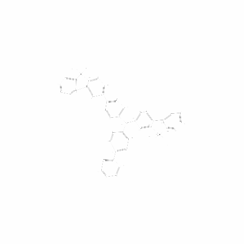 CC1(C)c2ccccc2-c2cc(-c3ccc(N(c4ccc(-c5ccccc5)cc4)c4ccc5c(c4)C(C)(C)c4ccccc4-5)cc3)ccc21